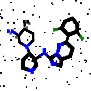 C[C@@H]1CCN(c2ccncc2Nc2ncc3ccc(-c4c(F)cccc4F)nn23)C[C@H]1N